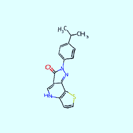 CC(C)c1ccc(-n2nc3c4sccc4[nH]cc-3c2=O)cc1